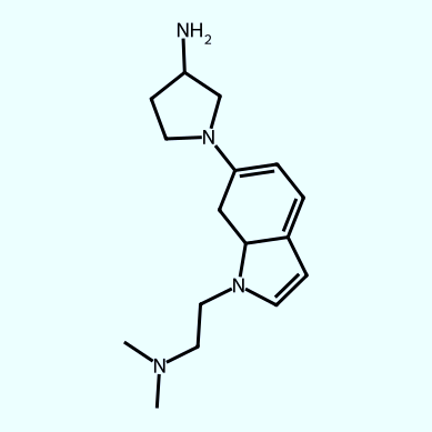 CN(C)CCN1C=CC2=CC=C(N3CCC(N)C3)CC21